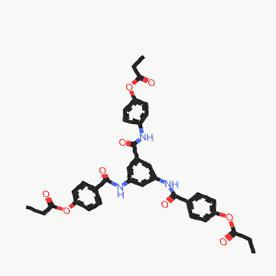 CCC(=O)Oc1ccc(NC(=O)c2cc(NC(=O)c3ccc(OC(=O)CC)cc3)cc(NC(=O)c3ccc(OC(=O)CC)cc3)c2)cc1